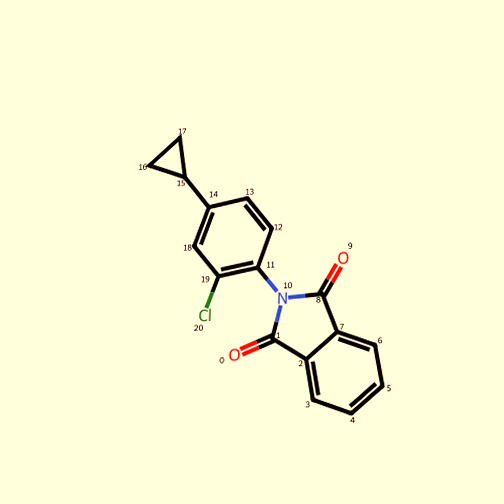 O=C1c2ccccc2C(=O)N1c1ccc(C2CC2)cc1Cl